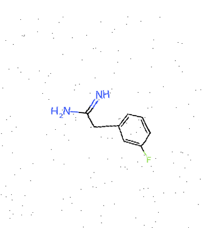 N=C(N)[CH]c1cccc(F)c1